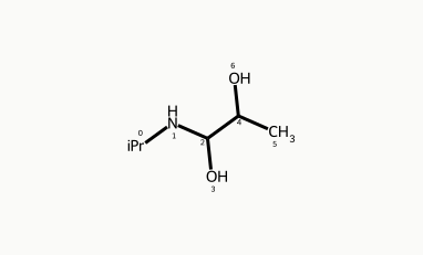 CC(C)NC(O)C(C)O